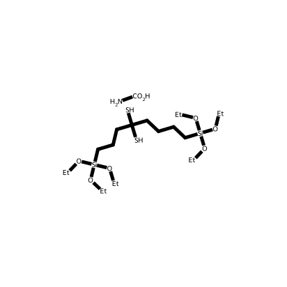 CCO[Si](CCCCC(S)(S)CCC[Si](OCC)(OCC)OCC)(OCC)OCC.NC(=O)O